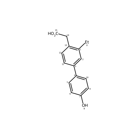 CCc1cc(-c2ccc(O)cc2)ccc1CC(=O)O